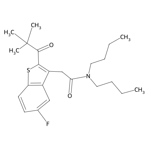 CCCCN(CCCC)C(=O)Cc1c(C(=O)C(C)(C)C)sc2ccc(F)cc12